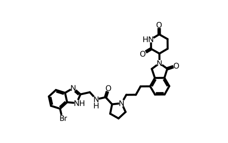 O=C1CCC(N2Cc3c(CCCN4CCCC4C(=O)NCc4nc5cccc(Br)c5[nH]4)cccc3C2=O)C(=O)N1